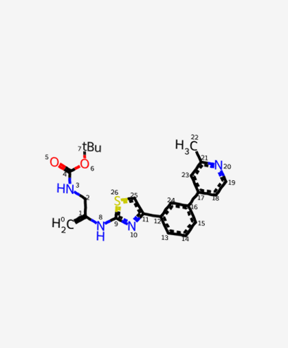 C=C(CNC(=O)OC(C)(C)C)Nc1nc(-c2cccc(-c3ccnc(C)c3)c2)cs1